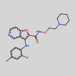 O=C(NOCCN1CCCCC1)c1oc2ccncc2c1Nc1ccc(I)cc1F